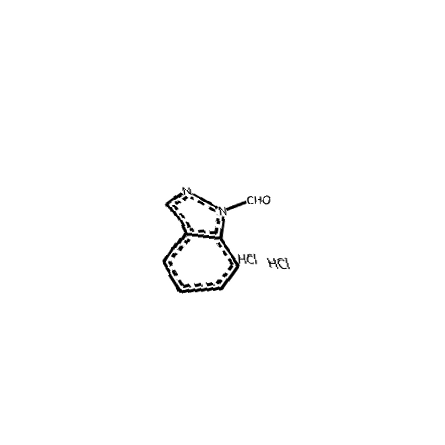 Cl.Cl.O=Cn1ncc2ccccc21